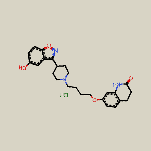 Cl.O=C1CCc2ccc(OCCCCN3CCC(c4noc5ccc(O)cc45)CC3)cc2N1